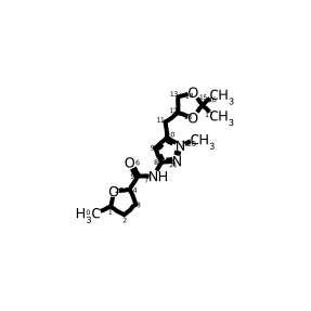 CC1CCC(C(=O)Nc2cc(CC3COC(C)(C)O3)n(C)n2)O1